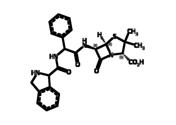 CC1(C)S[C@@H]2[C@H](NC(=O)C(NC(=O)C3NCc4ccccc43)c3ccccc3)C(=O)N2[C@H]1C(=O)O